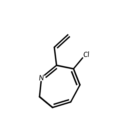 C=CC1=NCC=CC=C1Cl